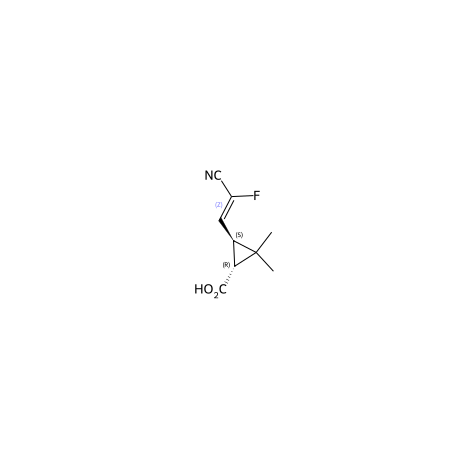 CC1(C)[C@H](/C=C(\F)C#N)[C@H]1C(=O)O